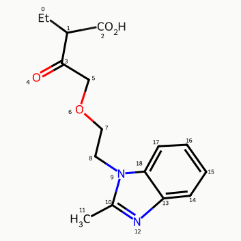 CCC(C(=O)O)C(=O)COCCn1c(C)nc2ccccc21